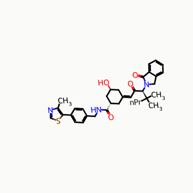 CCCC(C)(C)[C@@H](C(=O)/C=C1\C[C@H](O)C[C@@H](C(=O)NCc2ccc(-c3scnc3C)cc2)C1)N1Cc2ccccc2C1=O